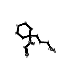 CCCCC1(N[C]=O)CCCCC1